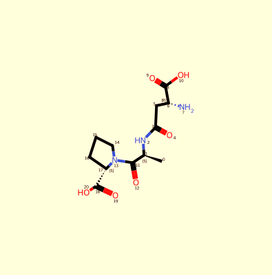 C[C@H](NC(=O)C[C@@H](N)C(=O)O)C(=O)N1CCC[C@H]1C(=O)O